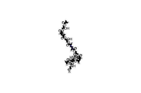 C=C(C)C(=O)OCC(O)COC(=O)C(C)(C)CC(=C)C(=O)OCC(O)COC(=O)/C(C)=C/C=C(\C)C(=O)OCC(COC(=O)C(C)(C)CC(=C)C(=O)OCC(COC(=O)C(=C)C)OC(=O)NCCOC)OC(=O)NCCOC